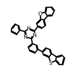 c1ccc(-c2nc(-c3cccc(-c4ccc5c(c4)sc4ccccc45)c3)nc(-c3ccc4c(c3)oc3ccccc34)n2)cc1